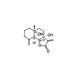 C=C1C(=O)O[C@@H]2[C@@]1(O)CC[C@@]1(C)CCCC(=C)[C@]21O